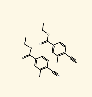 CCOC(=O)c1ccc(C#N)c(C)c1.CCOC(=O)c1ccc(C#N)c(C)c1